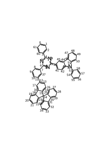 c1ccc(-c2nc(-c3cccc(-c4ccc5c(c4)-c4ccccc4C54c5ccccc5-c5ccccc54)c3)nc(-c3ccc4c(c3)c3ccccc3n4-c3ccccc3)n2)cc1